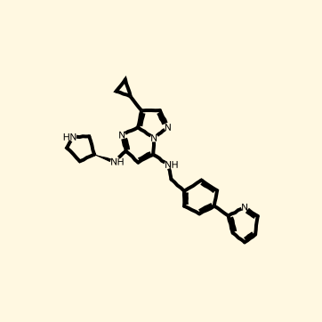 c1ccc(-c2ccc(CNc3cc(N[C@H]4CCNC4)nc4c(C5CC5)cnn34)cc2)nc1